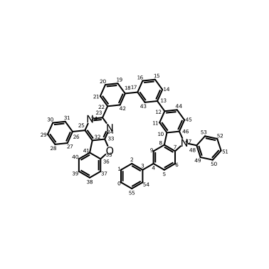 c1ccc(-c2ccc3c(c2)c2cc(-c4cccc(-c5cccc(-c6nc(-c7ccccc7)c7c(n6)oc6ccccc67)c5)c4)ccc2n3-c2ccccc2)cc1